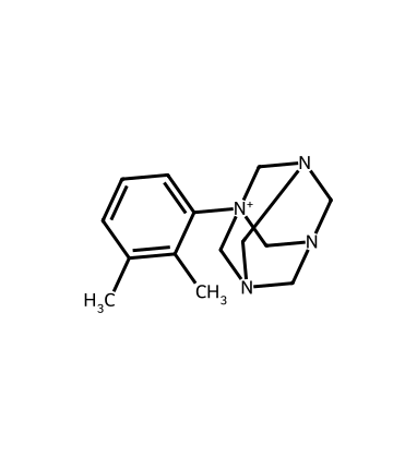 Cc1cccc([N+]23CN4CN(CN(C4)C2)C3)c1C